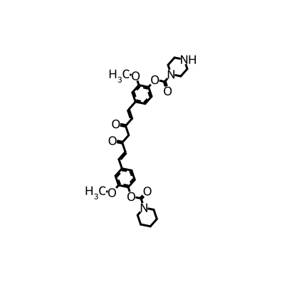 COc1cc(C=CC(=O)CC(=O)C=Cc2ccc(OC(=O)N3CCNCC3)c(OC)c2)ccc1OC(=O)N1CCCCC1